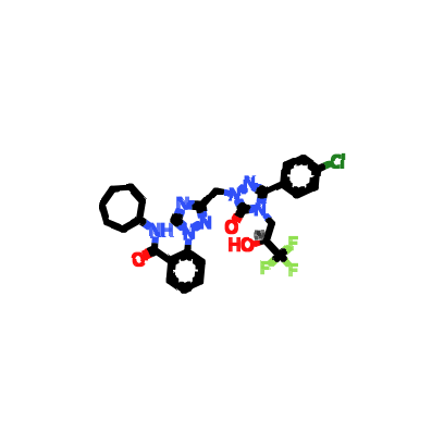 O=C(NC1CCCCCC1)c1ccccc1-n1cnc(Cn2nc(-c3ccc(Cl)cc3)n(C[C@H](O)C(F)(F)F)c2=O)n1